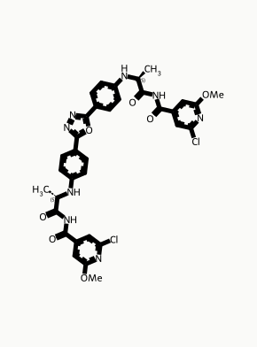 COc1cc(C(=O)NC(=O)[C@H](C)Nc2ccc(-c3nnc(-c4ccc(N[C@@H](C)C(=O)NC(=O)c5cc(Cl)nc(OC)c5)cc4)o3)cc2)cc(Cl)n1